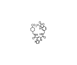 O=C(NCc1ccc2oc(=O)[nH]c2c1)c1cc(C(=O)NCC2CCC(C(=O)O)CC2)n2nccc2n1